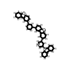 c1cc(-c2ccc3oc4ccccc4c3c2)cc(-c2ccc3oc4ccc(-c5cncc(-n6c7ccccc7c7ccccc76)c5)cc4c3c2)c1